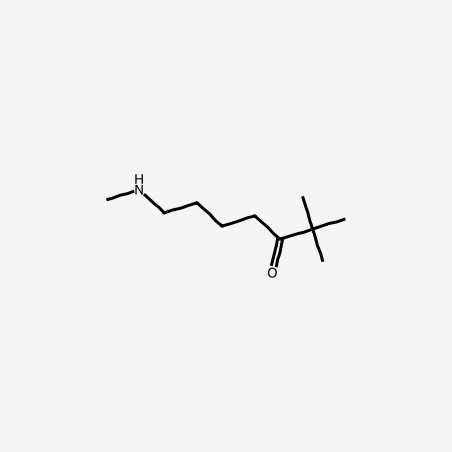 CNCCCCC(=O)C(C)(C)C